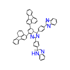 CC1(c2ccc(C3=NC4=C(c5ccc6c7c5C=CCC7c5ccccc5-6)C=C(c5ccc6c7c(cccc57)-c5ccccc5-6)CC4C(c4ccc(-c5cnc6ccccc6n5)cc4)=N3)cc2)C=Nc2ccccc2N1